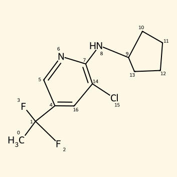 CC(F)(F)c1cnc(NC2CCCC2)c(Cl)c1